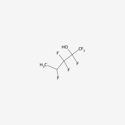 CC(F)C(F)(F)C(O)(F)C(F)(F)F